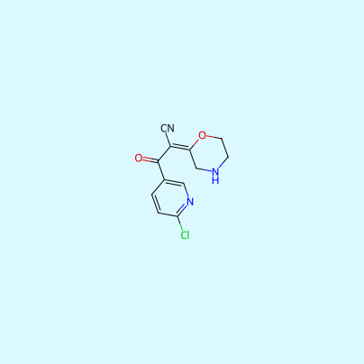 N#CC(C(=O)c1ccc(Cl)nc1)=C1CNCCO1